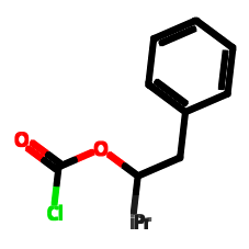 CC(C)C(Cc1ccccc1)OC(=O)Cl